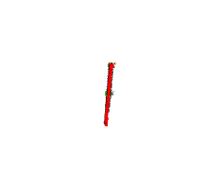 CCCCCCCCCCCCCCCCCCCCCCCCCCCCCCCCCCCCCCCCCCCC[P+](C)(C)C.[Cl-]